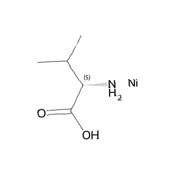 CC(C)[C@H](N)C(=O)O.[Ni]